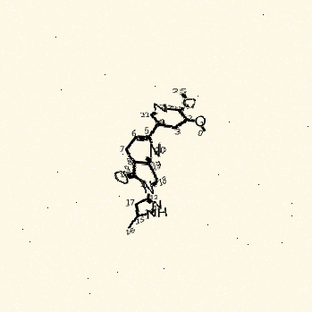 COC1CC(C2=CCC3C(=O)N(C4=NNC(C)C4)CC3=N2)C=NC1OC